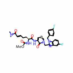 COC(=O)N[C@@H](CC/C=C/C(=O)N(C)C)C(=O)Nc1cbcn(Cc2nc3cc(F)ccc3n2Cc2ccc(F)cc2)c1=O